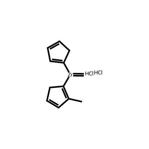 Cl.Cl.[CH2]=[Zr]([C]1=CC=CC1)[C]1=C(C)C=CC1